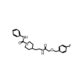 O=C(COCc1ccc(F)cc1)NCCC1CCN(C(=O)Nc2ccccc2)CC1